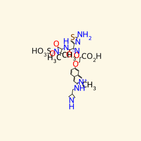 C[n+]1cc2cc(OCC(O/N=C(\C(=O)NC3C(=O)N(OS(=O)(=O)O)C3(C)C)c3csc(N)n3)C(=O)O)ccc2cc1NCC1CNC1